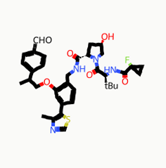 Cc1ncsc1-c1ccc(CNC(=O)[C@@H]2C[C@@H](O)CN2C(=O)[C@@H](NC(=O)C2(F)CC2)C(C)(C)C)c(OCC(C)c2ccc(C=O)cc2)c1